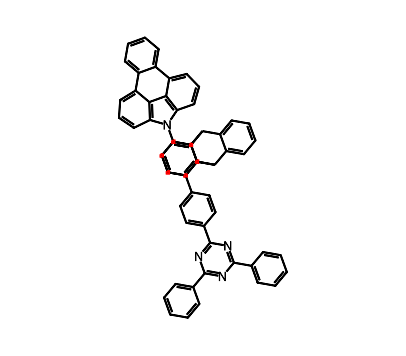 c1ccc(-c2nc(-c3ccccc3)nc(-c3ccc(-c4ccc(-n5c6cccc7c8ccccc8c8cccc5c8c76)c5c4C4c6ccccc6C5c5ccccc54)cc3)n2)cc1